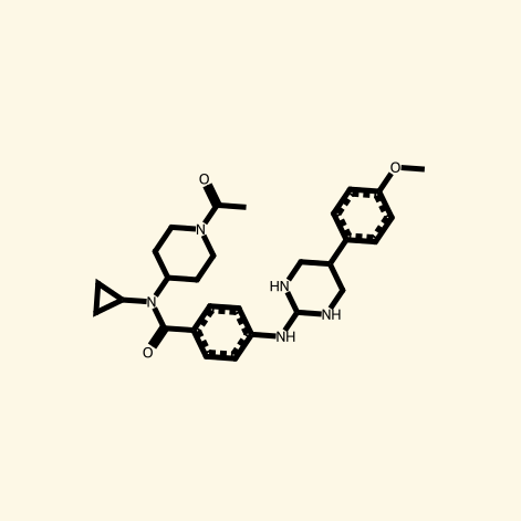 COc1ccc(C2CNC(Nc3ccc(C(=O)N(C4CC4)C4CCN(C(C)=O)CC4)cc3)NC2)cc1